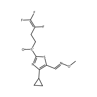 CON=Cc1sc([S+]([O-])CCC(F)=C(F)F)nc1C1CC1